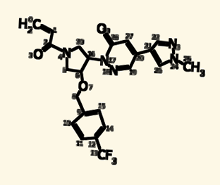 C=CC(=O)N1CC(OCc2ccc(C(F)(F)F)cc2)C(n2ncc(-c3cnn(C)c3)cc2=O)C1